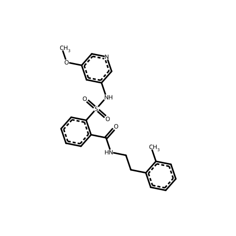 COc1cncc(NS(=O)(=O)c2ccccc2C(=O)NCCc2ccccc2C)c1